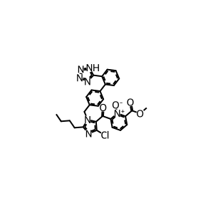 CCCCc1nc(Cl)c(C(=O)c2cccc(C(=O)OC)[n+]2[O-])n1Cc1ccc(-c2ccccc2-c2nnn[nH]2)cc1